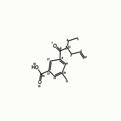 C=CCN(CC)C(=O)c1cc(C)cc(C(=O)O)c1